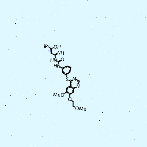 COCCOc1cc2ncnc(Sc3cccc(NC(=O)NC(=N)/C=C(\O)C(C)C)c3)c2cc1OC